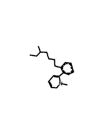 CCC(C)CCCCc1ccccc1C1=CC=CCN1C